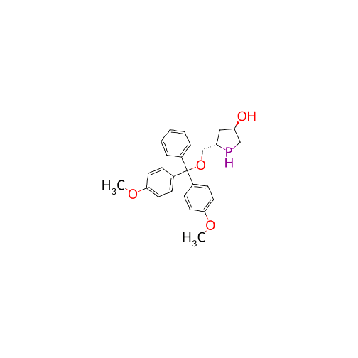 COc1ccc(C(OC[C@@H]2C[C@@H](O)CP2)(c2ccccc2)c2ccc(OC)cc2)cc1